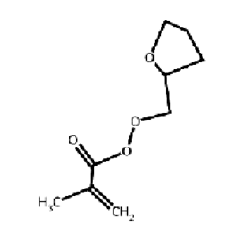 C=C(C)C(=O)OOCC1CCCO1